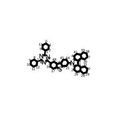 c1ccc(-c2nc(-c3ccccc3)nc(-c3ccc4sc5cc(-n6c7ccc8ccccc8c7c7c8ccccc8ccc76)ccc5c4c3)n2)cc1